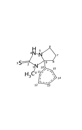 CN1C(=S)NN2CCCC21c1ccccc1